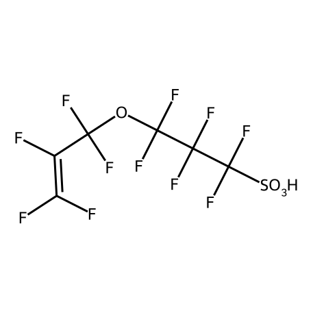 O=S(=O)(O)C(F)(F)C(F)(F)C(F)(F)OC(F)(F)C(F)=C(F)F